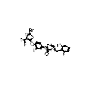 O=c1n(Cc2c(F)cccc2F)cnn1-c1ccc(Oc2sc(Br)nc2C(F)F)c(F)c1